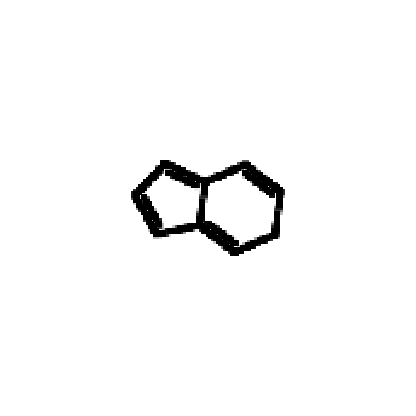 C1=CC2=CCC=CC2=C1